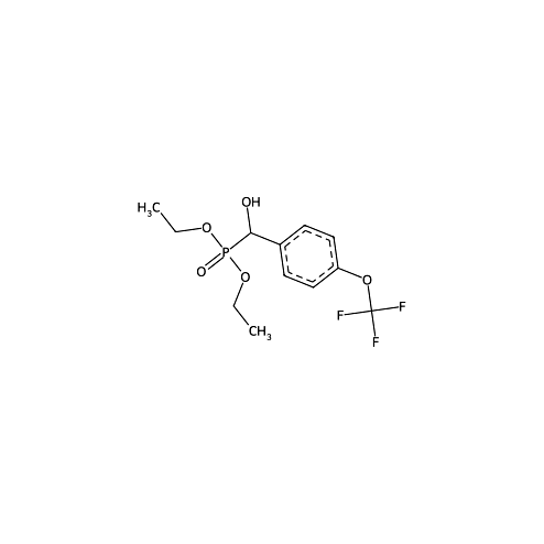 CCOP(=O)(OCC)C(O)c1ccc(OC(F)(F)F)cc1